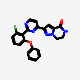 O=C1NCCn2nc(-c3ccnc(-c4c(F)cccc4Oc4ccccc4)n3)cc21